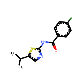 CC(C)c1cnc(NC(=O)c2ccc(Cl)cc2)s1